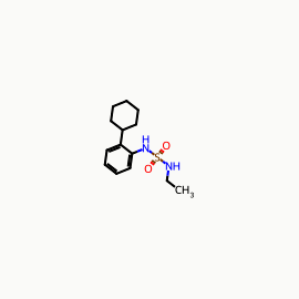 CCNS(=O)(=O)Nc1ccccc1C1CCCCC1